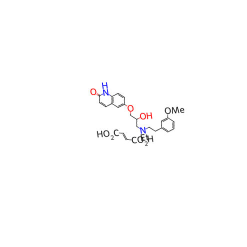 CCN(CCc1cccc(OC)c1)CC(O)COc1ccc2[nH]c(=O)ccc2c1.O=C(O)C=CC(=O)O